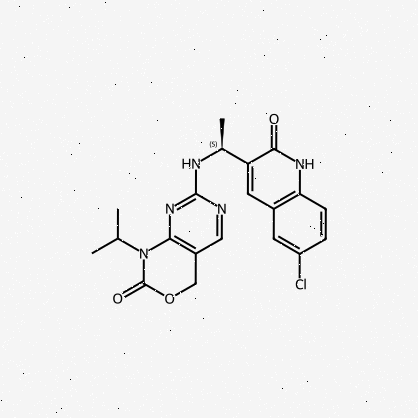 CC(C)N1C(=O)OCc2cnc(N[C@@H](C)c3cc4cc(Cl)ccc4[nH]c3=O)nc21